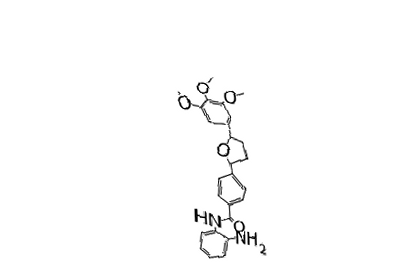 COc1cc(C2CCC(c3ccc(C(=O)Nc4ccccc4N)cc3)O2)cc(OC)c1OC